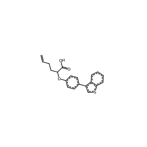 C=CCCC(Oc1ccc(-c2csc3ccccc23)cc1)C(=O)O